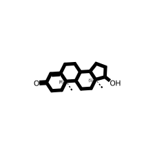 C[C@]12CCC3C(CCC4=CC(=O)CC[C@@]43C)C1CCC2O